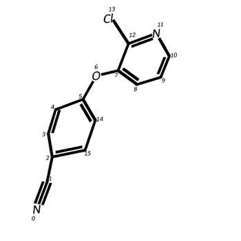 N#Cc1ccc(Oc2cccnc2Cl)cc1